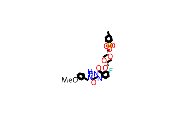 COc1cccc(CNC(=O)c2nc3ccc(F)c(OC[C@@H]4CO[C@@H](COS(=O)(=O)c5ccc(C)cc5)CO4)c3c(=O)[nH]2)c1